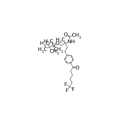 CC(=O)N[C@](C)(CCc1ccc(C(=O)CCCCC(F)(F)F)cc1)CO[Si](C)(C)C(C)(C)C